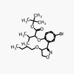 CCCCOC1CON=C1c1cc(Br)ccc1OC(C(=O)OC(C)(C)C)C(C)C